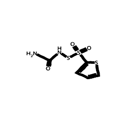 NC(=O)NSS(=O)(=O)c1cccs1